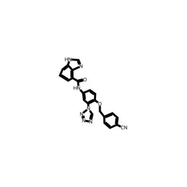 N#Cc1ccc(COc2ccc(NC(=O)c3cccc4[nH]cnc34)cc2-n2cnnn2)cc1